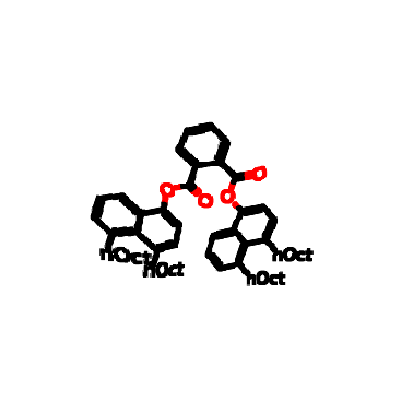 CCCCCCCCc1cccc2c(OC(=O)c3ccccc3C(=O)Oc3ccc(CCCCCCCC)c4c(CCCCCCCC)cccc34)ccc(CCCCCCCC)c12